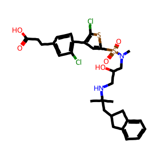 CN(CC(O)CNC(C)(C)CC1Cc2ccccc2C1)S(=O)(=O)c1cc(-c2ccc(CCC(=O)O)cc2Cl)c(Cl)s1